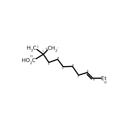 [CH2]C(C)(CCCCCC=CCC)C(=O)O